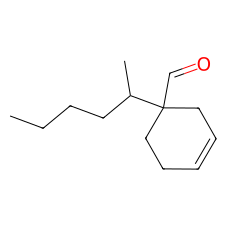 CCCCC(C)C1(C=O)CC=CCC1